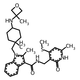 CSc1cc(C)[nH]c(=O)c1CNC(=O)c1c(C)n(CC2(C)CCC(NC3(C)COC3)CC2)c2ccccc12